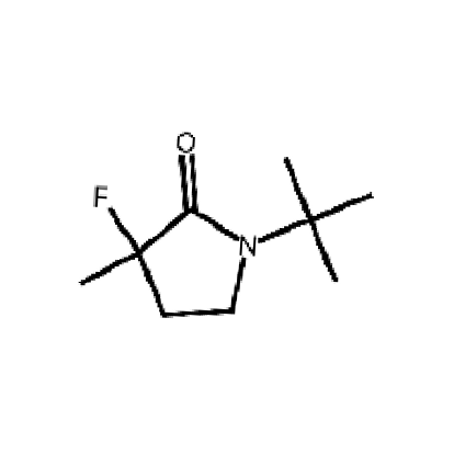 CC1(F)CCN(C(C)(C)C)C1=O